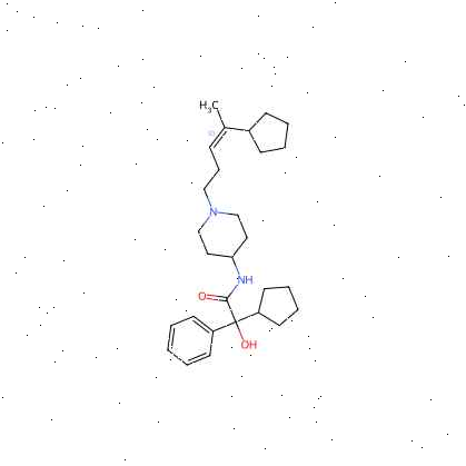 C/C(=C/CCN1CCC(NC(=O)C(O)(c2ccccc2)C2CCCC2)CC1)C1CCCC1